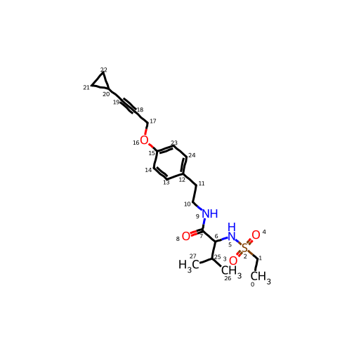 CCS(=O)(=O)NC(C(=O)NCCc1ccc(OCC#CC2CC2)cc1)C(C)C